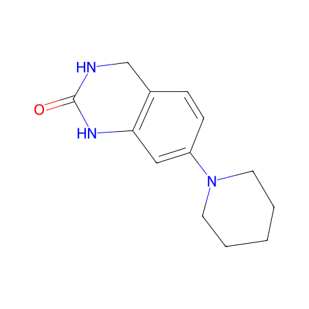 O=C1NCc2ccc(N3CCCCC3)cc2N1